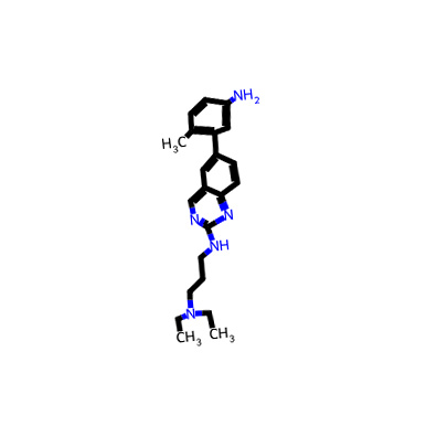 CCN(CC)CCCNc1ncc2cc(-c3cc(N)ccc3C)ccc2n1